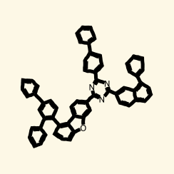 c1ccc(-c2ccc(-c3nc(-c4ccc5c(c4)oc4cccc(-c6ccc(-c7ccccc7)cc6-c6ccccc6)c45)nc(-c4ccc5cccc(-c6ccccc6)c5c4)n3)cc2)cc1